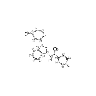 O=C(N[C@H]1C[C@@H](c2cccc(Cl)c2)c2ccccc21)c1ccccc1